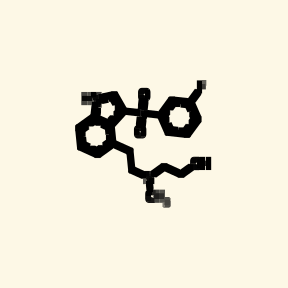 CN(CCO)CCc1cccc2[nH]cc(S(=O)(=O)c3cccc(F)c3)c12